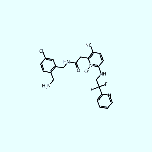 N#Cc1ccc(NCC(F)(F)c2ccccn2)[n+]([O-])c1CC(=O)NCc1cc(Cl)ccc1CN